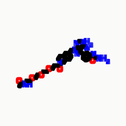 CC(=O)NCCOCCOCCOCCC(=O)N1CCc2cc(Cn3nc(-c4ccc5oc(N)nc5c4)c4c(N)ncnc43)ccc2C1